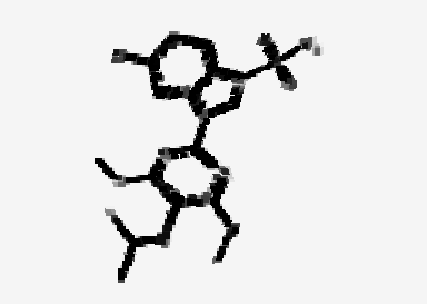 COc1nc(-n2cc(S(N)(=O)=O)c3ccc(Cl)cc32)nc(SC)c1OC(F)F